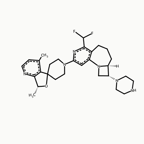 Cc1ccnc2c1C1(CCN(c3cc4c(c(C(F)F)n3)CCC[C@H]3[C@H](N5CCNCC5)CN43)CC1)O[C@@H]2C